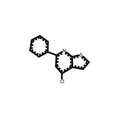 Clc1cc(-c2ccccc2)nc2sccc12